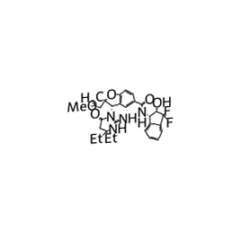 CCC1(CC)CC(=O)N([C@H]2c3cc(C(=O)N[C@H]4c5ccccc5C(F)(F)[C@@H]4O)ccc3O[C@@]2(C)COC)C(=N)N1